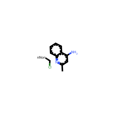 CCCCCCCCCCCl.Cc1cc(N)c2ccccc2n1